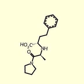 C[C@H](N[C@@H](CCc1ccccc1)C(=O)O)C(=O)N1CCCC1